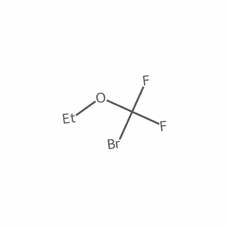 [CH2]COC(F)(F)Br